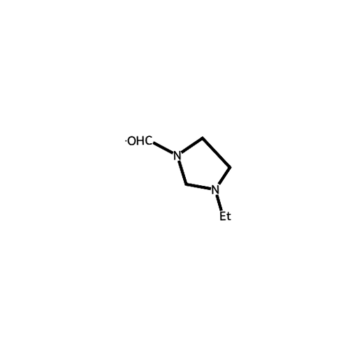 CCN1CCN([C]=O)C1